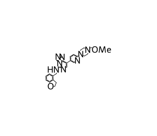 COCN1CCN(c2ccc(-c3cnc(NCc4cccc5c4CCO5)n4cnnc34)cn2)CC1